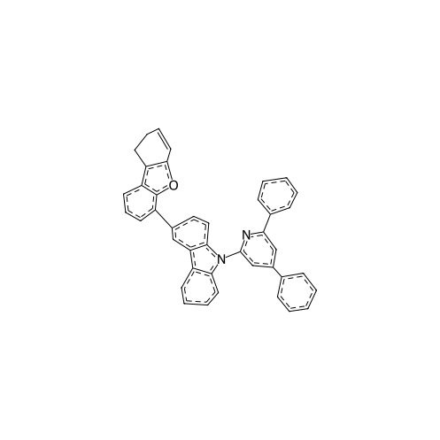 C1=Cc2oc3c(-c4ccc5c(c4)c4ccccc4n5-c4cc(-c5ccccc5)cc(-c5ccccc5)n4)cccc3c2CC1